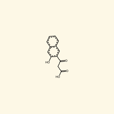 O=C(O)CC(=O)c1cc2ccccc2cc1O